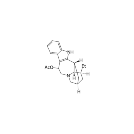 CC[C@H]1C[C@@H]2C[C@H]3c4[nH]c5ccccc5c4C(OC(C)=O)CN(C2)[C@@H]13